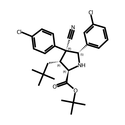 CC(C)(C)C[C@H]1[C@H](C(=O)OC(C)(C)C)N[C@@H](c2cccc(Cl)c2)[C@]1(C#N)c1ccc(Cl)cc1